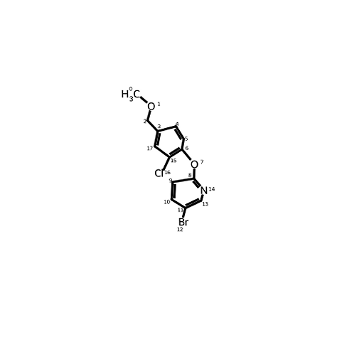 COCc1ccc(Oc2ccc(Br)cn2)c(Cl)c1